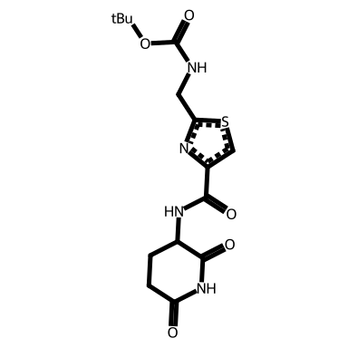 CC(C)(C)OC(=O)NCc1nc(C(=O)NC2CCC(=O)NC2=O)cs1